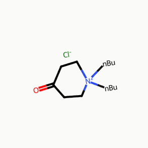 CCCC[N+]1(CCCC)CCC(=O)CC1.[Cl-]